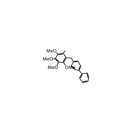 COc1c(C)c(Cc2ccc(-c3ccccc3)cc2)c(OC)c(OC)c1OC